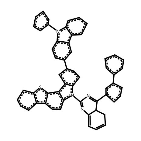 C1=CCC2C(=C1)N=C(n1c3ccc(-c4ccc5c(c4)c4ccccc4n5-c4ccccc4)cc3c3c4sc5ccccc5c4ccc31)N=C2c1cccc(-c2ccccc2)c1